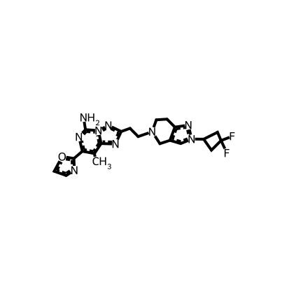 Cc1c(-c2ncco2)nc(N)n2nc(CCN3CCc4nn(C5CC(F)(F)C5)cc4C3)nc12